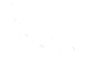 NC(=O)c1ccc(NC(=O)CN2CCC(NC(=O)O)CC2)cc1